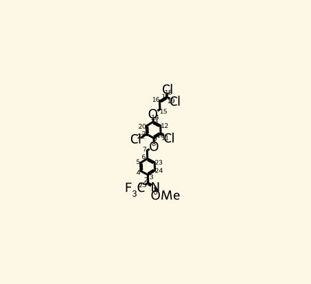 CON=C(c1ccc(COc2c(Cl)cc(OCC=C(Cl)Cl)cc2Cl)cc1)C(F)(F)F